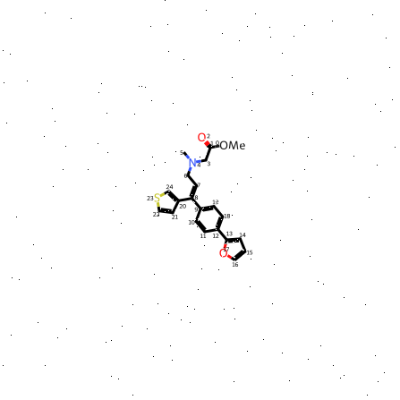 COC(=O)CN(C)C/C=C(/c1ccc(-c2ccco2)cc1)c1ccsc1